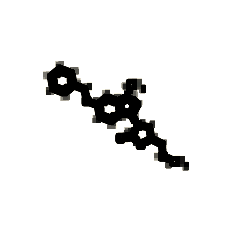 COCC1CN(c2cn(C)c3cc(OCc4ccccc4)ccc23)C(=O)O1